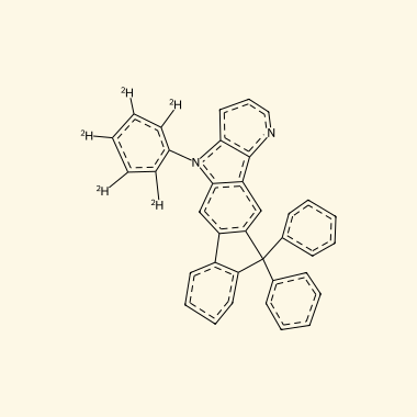 [2H]c1c([2H])c([2H])c(-n2c3cc4c(cc3c3ncccc32)C(c2ccccc2)(c2ccccc2)c2ccccc2-4)c([2H])c1[2H]